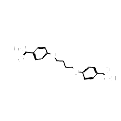 O=C(O)c1ccc(OCCCCOc2ccc(C(=O)O)cc2)cc1